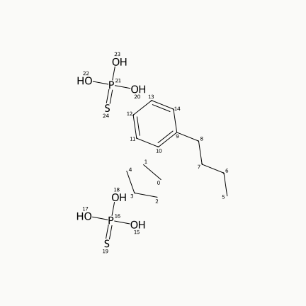 CC.CCC.CCCCc1ccccc1.OP(O)(O)=S.OP(O)(O)=S